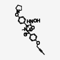 CC#CCOc1ccc(S(=O)(=O)N(C)[C@@H](C(=O)NO)c2ccc(ON3CCCC3)cc2)cc1